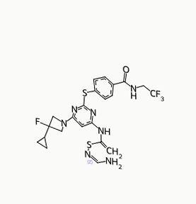 C=C(Nc1cc(N2CC(F)(C3CC3)C2)nc(Sc2ccc(C(=O)NCC(F)(F)F)cc2)n1)S/N=C\N